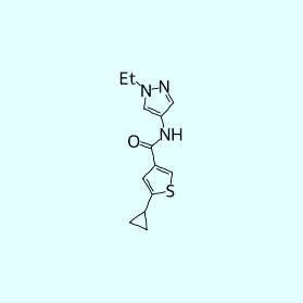 CCn1cc(NC(=O)c2csc(C3CC3)c2)cn1